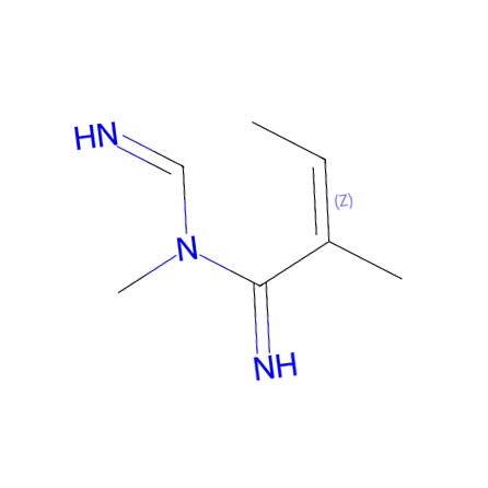 C/C=C(/C)C(=N)N(C)C=N